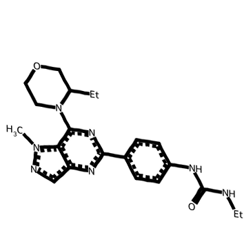 CCNC(=O)Nc1ccc(-c2nc(N3CCOCC3CC)c3c(cnn3C)n2)cc1